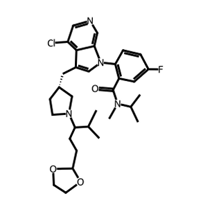 CC(C)C(CCC1OCCO1)N1CC[C@H](Cc2cn(-c3ccc(F)cc3C(=O)N(C)C(C)C)c3cncc(Cl)c23)C1